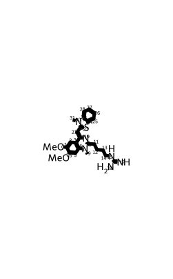 COc1cc2c(cc1OC)N(C)C(CCCCNC(=N)N)=NC2=Cc1sc2ccccc2[n+]1C